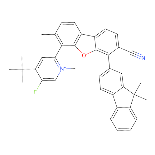 Cc1ccc2c(oc3c(-c4ccc5c(c4)C(C)(C)c4ccccc4-5)c(C#N)ccc32)c1-c1cc(C(C)(C)C)c(F)c[n+]1C